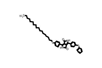 CCCCCCCCCCCCCCCCCCSc1ccc(C2=C3C(=O)NC(c4ccc(Sc5ccccc5)cc4)=C3C(=O)N2)cc1